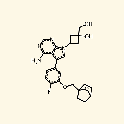 Nc1ncnc2c1c(-c1ccc(F)c(OCC34CCC(CC3)O4)c1)cn2C1CC(O)(CO)C1